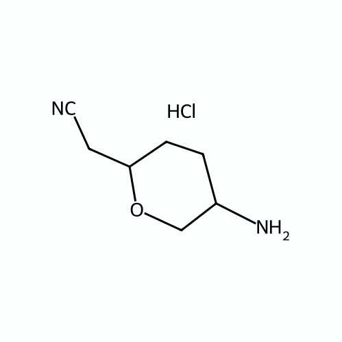 Cl.N#CCC1CCC(N)CO1